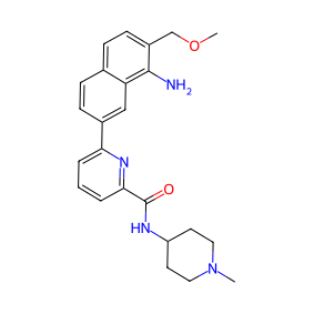 COCc1ccc2ccc(-c3cccc(C(=O)NC4CCN(C)CC4)n3)cc2c1N